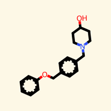 OC1CCN(Cc2ccc(COc3ccccc3)cc2)CC1